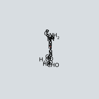 CC(CCC(=O)NC=O)N1C(=O)c2ccc(N3CCC4(CC3)CC(N3CC(N5CCC(n6nc(-c7ccc(Oc8ccccc8)cc7)c7c(N)ncnc76)CC5)C3)C4)cc2C1=O